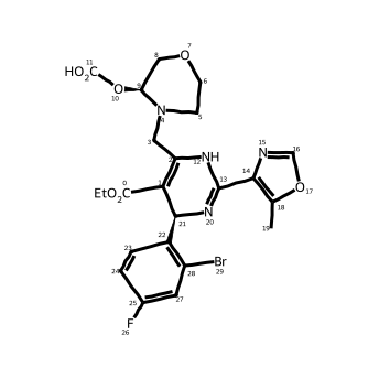 CCOC(=O)C1=C(CN2CCOC[C@@H]2OC(=O)O)NC(c2ncoc2C)=N[C@H]1c1ccc(F)cc1Br